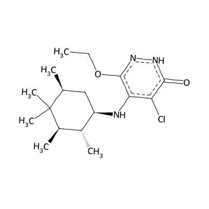 CCOc1n[nH]c(=O)c(Cl)c1N[C@@H]1C[C@H](C)C(C)(C)[C@H](C)[C@H]1C